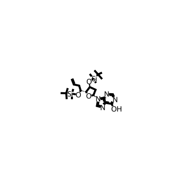 C=CCC(O[Si](C)(C)C(C)(C)C)[C@H]1O[C@@H](n2cnc3c(O)ncnc32)C[C@@H]1O[Si](C)(C)C(C)(C)C